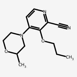 CCCOc1c(N2CCOC(C)C2)ccnc1C#N